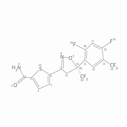 NC(=O)c1ccc(C2=NO[C@](c3cc(C(F)(F)F)c(F)cc3F)(C(F)(F)F)C2)s1